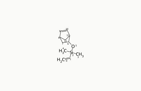 C=C[Si](C)(C)OC1CC2C=CC1C2